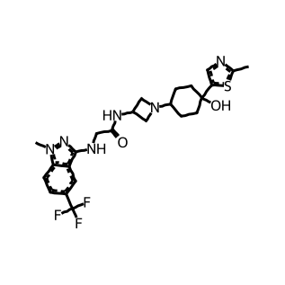 Cc1ncc(C2(O)CCC(N3CC(NC(=O)CNc4nn(C)c5ccc(C(F)(F)F)cc45)C3)CC2)s1